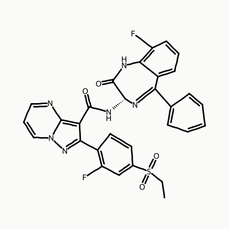 CCS(=O)(=O)c1ccc(-c2nn3cccnc3c2C(=O)N[C@H]2N=C(c3ccccc3)c3cccc(F)c3NC2=O)c(F)c1